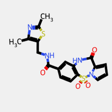 Cc1nc(C)c(CNC(=O)c2ccc3c(c2)NC(=O)c2cccn2S3(=O)=O)s1